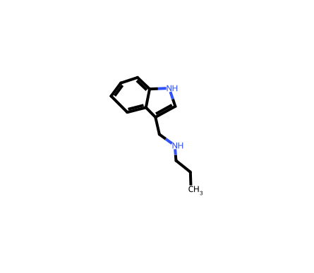 CCCNCc1c[nH]c2ccccc12